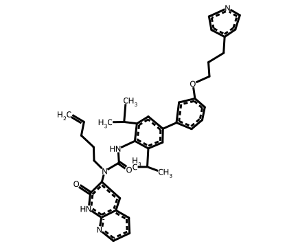 C=CCCCN(C(=O)Nc1c(C(C)C)cc(-c2cccc(OCCCc3ccncc3)c2)cc1C(C)C)c1cc2cccnc2[nH]c1=O